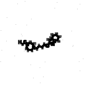 CN1CCCN(CCCCOc2cc3n(n2)CCCC3)CC1